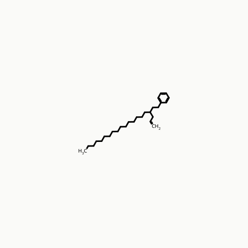 C=CCC(CCCCCCCCCCCCCCCC)CCc1ccccc1